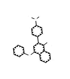 Cc1c(-c2ccc(N(C)C)cc2)cc(Nc2ccccc2)c2ccccc12.Cl